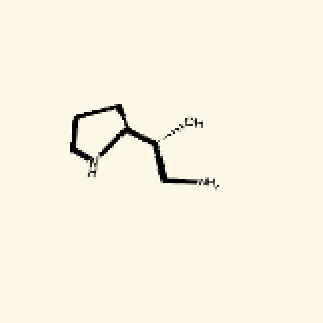 NC[C@@H](O)[C@@H]1CCCN1